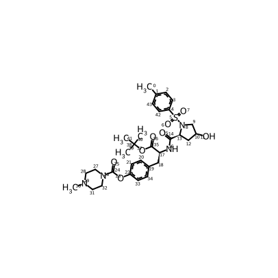 Cc1ccc(S(=O)(=O)N2CC(O)C[C@H]2C(=O)N[C@@H](Cc2ccc(OC(=O)N3CCN(C)CC3)cc2)C(=O)OC(C)(C)C)cc1